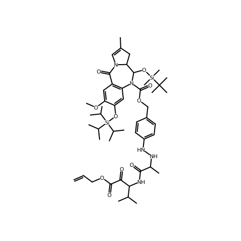 C=CCOC(=O)C(=O)C(NC(=O)C(C)NNc1ccc(COC(=O)N2c3cc(O[Si](C(C)C)(C(C)C)C(C)C)c(OC)cc3C(=O)N3C=C(C)CC3C2O[Si](C)(C)C(C)(C)C)cc1)C(C)C